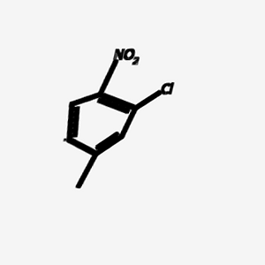 Cc1[c]cc([N+](=O)[O-])c(Cl)c1